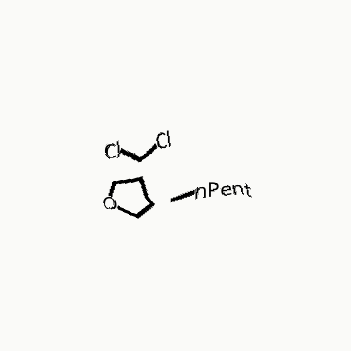 C1CCOC1.CCCCCC.ClCCl